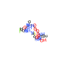 Cc1ncsc1-c1ccc([C@H](C)NC(=O)[C@@H]2C[C@@H](O)CN2C(=O)[C@@H](NC(=O)CCOCCOCCC(=O)N2CC([C@@H](c3ccccc3)n3cc(NC(=O)c4n[nH]c5c4C[C@@H]4C(F)(F)[C@]4(C)C5)cn3)C2)C(C)(C)C)cc1